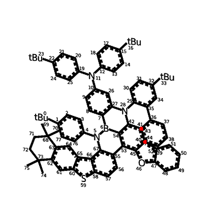 CC(C)(C)c1ccc(N2B3c4ccc(N(c5ccc(C(C)(C)C)cc5)c5ccc(C(C)(C)C)cc5)cc4N(c4ccc(C(C)(C)C)cc4-c4ccccc4)c4cc5c(oc6ccccc65)c(c43)-c3ccc4sc5cc6c(cc5c4c32)C(C)(C)CCC6(C)C)cc1